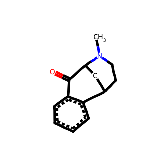 CN1CCC2CC1C(=O)c1ccccc12